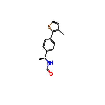 Cc1ccsc1-c1ccc([C@H](C)NC=O)cc1